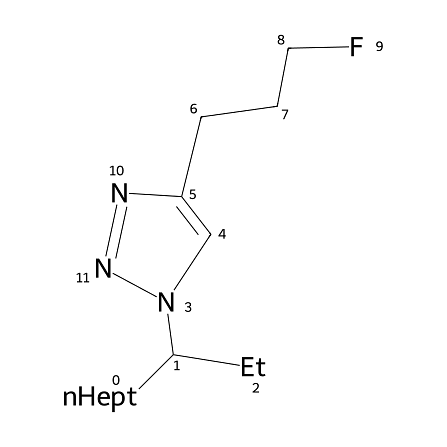 CCCCCCCC(CC)n1cc(CCCF)nn1